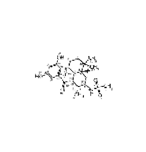 C[C@H]1[C@H](NS(C)(=O)=O)C[C@H]2C(C)(C)CCC[C@]2(C)[C@H]1C(=O)c1cc(O)cc(O)c1